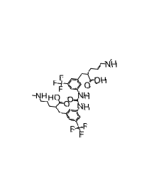 CNCCCC(Cc1cc(NC(=O)Nc2cc(CC(CCCNC)C(=O)O)cc(C(F)(F)F)c2)cc(C(F)(F)F)c1)C(=O)O